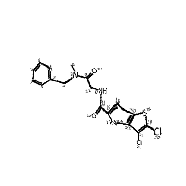 CN(Cc1ccccc1)C(=O)CNC(=O)c1cc2sc(Cl)c(Cl)c2[nH]1